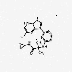 CC(C)(Nc1ccnc(C2=CNC3NC=C(Cl)C=C23)n1)C(=O)NC1CC1